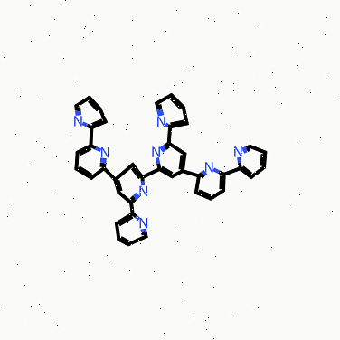 c1ccc(-c2cccc(-c3cc(-c4ccccn4)nc(-c4cc(-c5cccc(-c6ccccn6)n5)cc(-c5ccccn5)n4)c3)n2)nc1